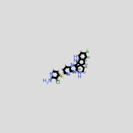 Nc1nccc(Sc2ccc3nc([C@@]4(N)c5ccc(F)cc5CC45CCNCC5)cnc3n2)c1Cl